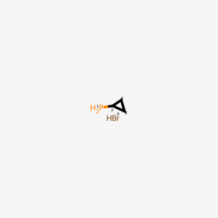 Br.PC1CC1